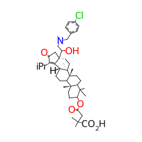 CC(C)C1=C2[C@H]3CCC4[C@@]5(C)CC[C@H](OC(=O)CC(C)(C)C(=O)O)C(C)(C)C5CC[C@@]4(C)[C@]3(C)CC[C@@]2([C@H](O)CN(C)Cc2ccc(Cl)cc2)CC1=O